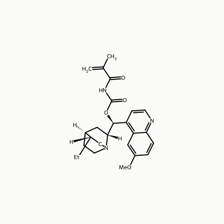 C=C(C)C(=O)NC(=O)O[C@@H](c1ccnc2ccc(OC)cc12)[C@H]1C[C@@H]2CCN1C[C@@H]2CC